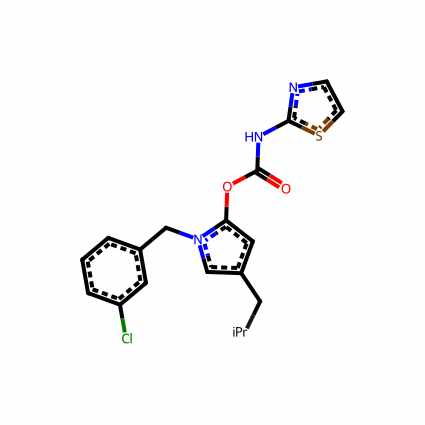 CC(C)Cc1cc(OC(=O)Nc2nccs2)n(Cc2cccc(Cl)c2)c1